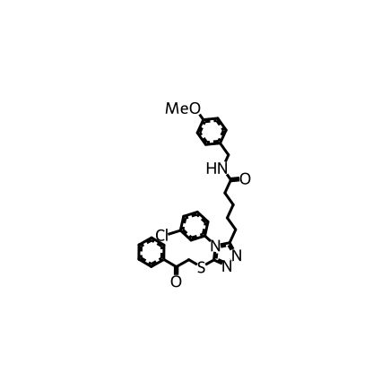 COc1ccc(CNC(=O)CCCCc2nnc(SCC(=O)c3ccccc3)n2-c2cccc(Cl)c2)cc1